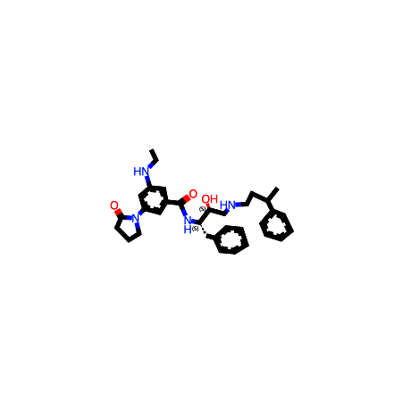 CCNc1cc(C(=O)N[C@@H](Cc2ccccc2)[C@@H](O)CNCCC(C)c2ccccc2)cc(N2CCCC2=O)c1